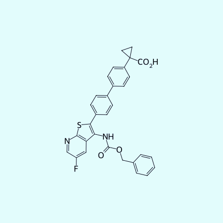 O=C(Nc1c(-c2ccc(-c3ccc(C4(C(=O)O)CC4)cc3)cc2)sc2ncc(F)cc12)OCc1ccccc1